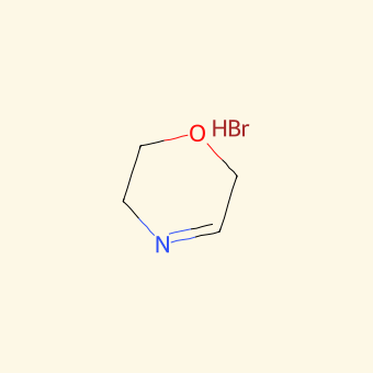 Br.C1=NCCOC1